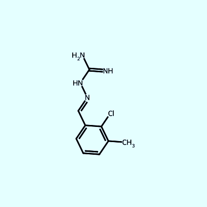 Cc1cccc(C=NNC(=N)N)c1Cl